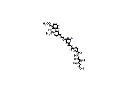 COCC1=C(NC(N)N2CCC(CCCOC(/C=C/F)=C/C(F)=C/CC(=O)N3CC[C@H](C(=O)NC[C@H](O)[C@@H](O)[C@H](O)CCO)C3)CC2)CCCC=C1